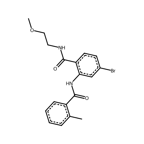 COCCNC(=O)c1ccc(Br)cc1NC(=O)c1ccccc1C